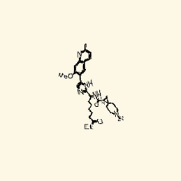 CCC(=O)CCCCCC(NC(=O)[C@H]1CC12CCN(CC)CC2)c1ncc(-c2cc3ccc(C)nc3cc2OC)[nH]1